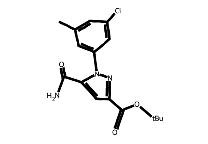 Cc1cc(Cl)cc(-n2nc(C(=O)OC(C)(C)C)cc2C(N)=O)c1